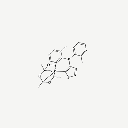 Cc1ccccc1P(c1ccccc1C)c1ccsc1P1C2(C)CC3(C)OC(C)(CC1(C)O3)O2